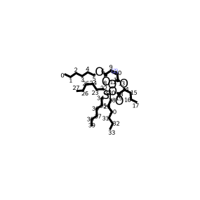 CCCCCCOC(=O)/C=C\C(=O)OC(CCC)C(=O)O[Si](CCCCCC)(CCCCCC)CCCCCC